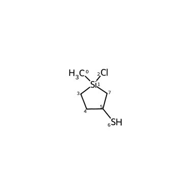 C[Si]1(Cl)CCC(S)C1